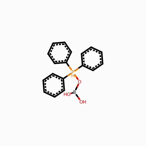 OB(O)O[PH](c1ccccc1)(c1ccccc1)c1ccccc1